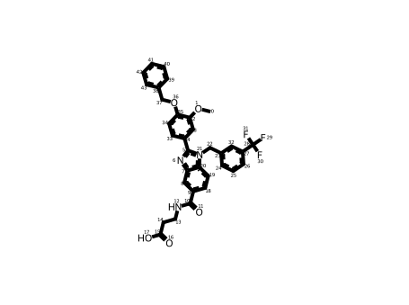 COc1cc(-c2nc3cc(C(=O)NCCC(=O)O)ccc3n2Cc2cccc(C(F)(F)F)c2)ccc1OCc1ccccc1